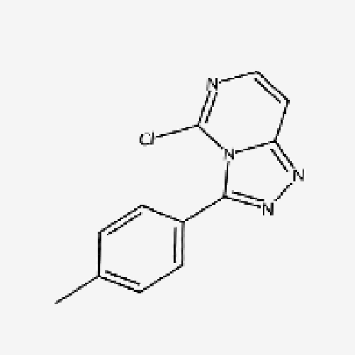 Cc1ccc(-c2nnc3ccnc(Cl)n23)cc1